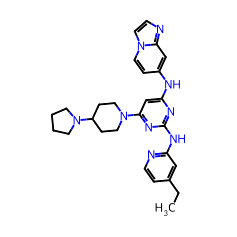 CCc1ccnc(Nc2nc(Nc3ccn4ccnc4c3)cc(N3CCC(N4CCCC4)CC3)n2)c1